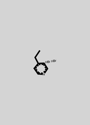 Br.Br.CCc1ccncc1